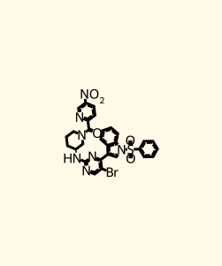 O=C(c1ccc([N+](=O)[O-])cn1)N1CCC[C@@H](Nc2ncc(Br)c(-c3cn(S(=O)(=O)c4ccccc4)c4ccccc34)n2)C1